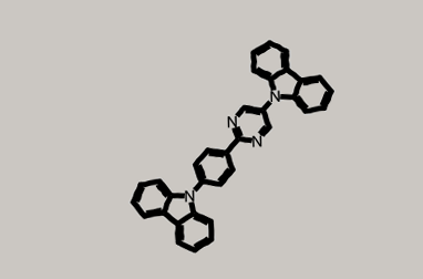 c1ccc2c(c1)c1ccccc1n2-c1ccc(-c2ncc(-n3c4ccccc4c4ccccc43)cn2)cc1